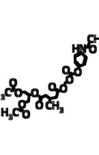 CC(=O)Nc1ccc(OC(=O)OCOC(=O)CC(C)CC(=O)OC(COC(C)=O)COC(C)=O)cc1